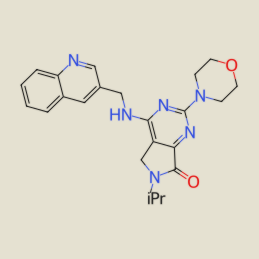 CC(C)N1Cc2c(NCc3cnc4ccccc4c3)nc(N3CCOCC3)nc2C1=O